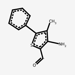 Cc1c(-c2ccccc2)sc([C]=O)c1N